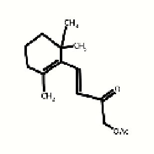 CC(=O)OCC(=O)C=CC1=C(C)CCCC1(C)C